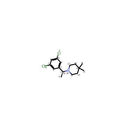 C[C@@H](c1cc(Cl)cc(Cl)c1)N1CCC(C)(C)CC1